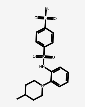 CCS(=O)(=O)c1ccc(S(=O)(=O)Nc2ccccc2N2CCC(C)CC2)cc1